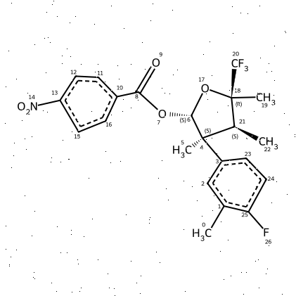 Cc1cc([C@@]2(C)[C@H](OC(=O)c3ccc([N+](=O)[O-])cc3)O[C@@](C)(C(F)(F)F)[C@H]2C)ccc1F